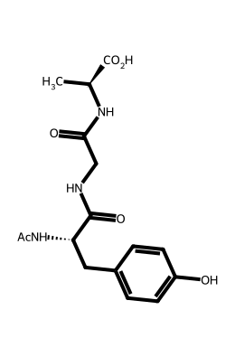 CC(=O)N[C@@H](Cc1ccc(O)cc1)C(=O)NCC(=O)N[C@@H](C)C(=O)O